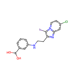 OB(O)c1cccc(NCCc2nc3cc(Cl)ccn3c2I)c1